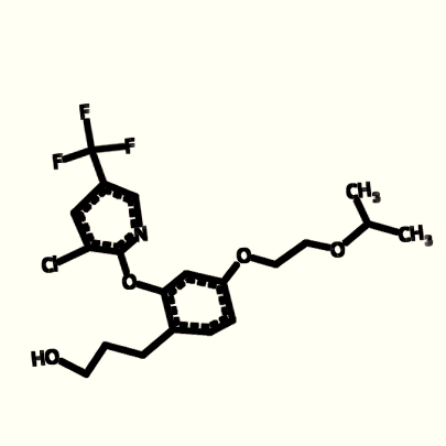 CC(C)OCCOc1ccc(CCCO)c(Oc2ncc(C(F)(F)F)cc2Cl)c1